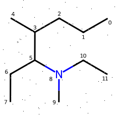 CCCC(C)C(CC)N(C)CC